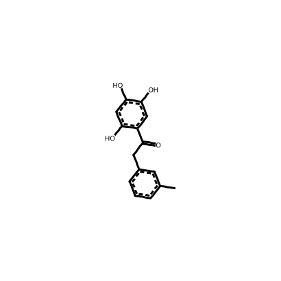 Cc1cccc(CC(=O)c2cc(O)c(O)cc2O)c1